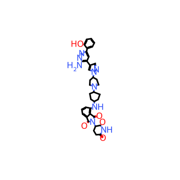 Nc1nnc(-c2ccccc2O)cc1-c1cnn(C2CCN(C3CCC(Nc4cccc5c4C(=O)N(C4CCC(=O)NC4=O)C5=O)CC3)CC2)c1